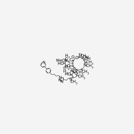 CC[C@H]1OC(=O)[C@H](C)[C@@H](C2C[C@@](C)(OC)[C@@H](O)[C@H](C)O2)[C@H](C)[C@@H](O[C@@H]2O[C@H](C)C[C@H](N(C)CCc3cn(CCCCc4ccc(-c5cccnc5)cc4)nn3)[C@H]2O)[C@](C)(O)C[C@@H](C)CN(C)[C@H](C)[C@@H](O)[C@]1(C)O